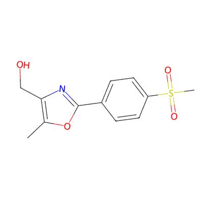 Cc1oc(-c2ccc(S(C)(=O)=O)cc2)nc1CO